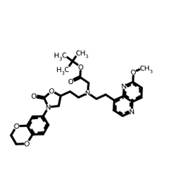 COc1ccc2nccc(CCN(CCC3CN(c4ccc5c(c4)OCCO5)C(=O)O3)CC(=O)OC(C)(C)C)c2n1